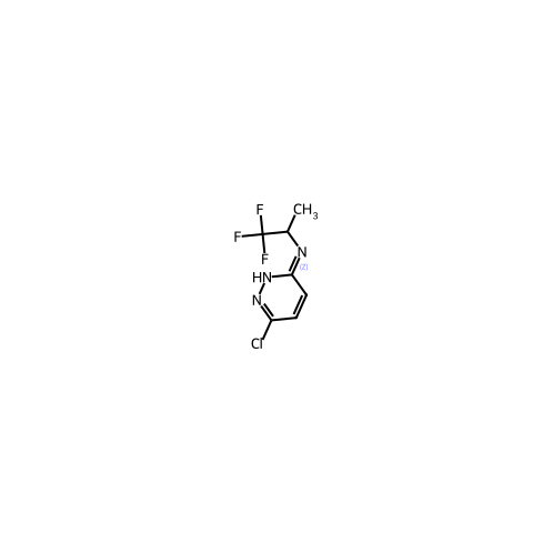 CC(/N=c1/ccc(Cl)n[nH]1)C(F)(F)F